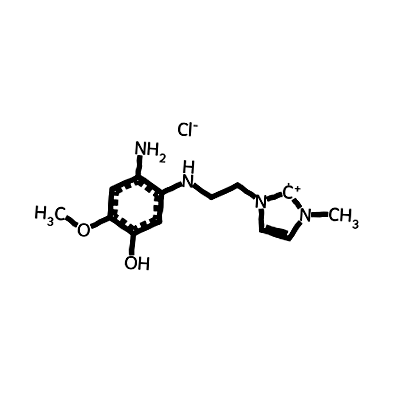 COc1cc(N)c(NCCN2[C+]N(C)C=C2)cc1O.[Cl-]